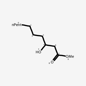 CCCCCCCCC(O)CC(=O)OC